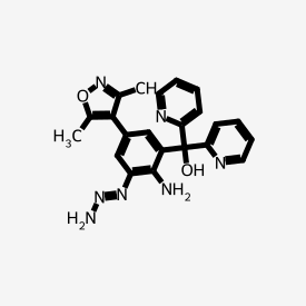 Cc1noc(C)c1-c1cc(N=NN)c(N)c(C(O)(c2ccccn2)c2ccccn2)c1